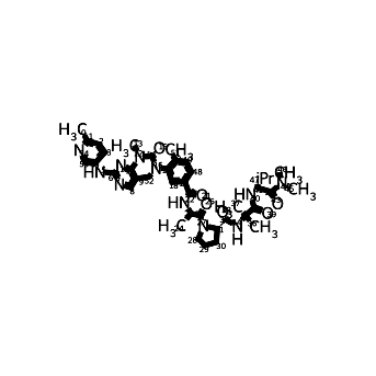 Cc1ccc(Nc2ncc3c(n2)N(C)C(=O)N(c2cc(C(=O)NC(C)C(=O)N4CCC[C@H]4C(=O)NC(C)(C)C(=O)NC(C(=O)N(C)C)C(C)C)ccc2C)C3)cn1